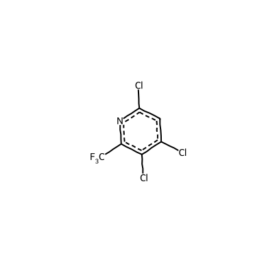 FC(F)(F)c1nc(Cl)cc(Cl)c1Cl